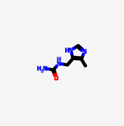 Cc1nc[nH]c1CNC(N)=O